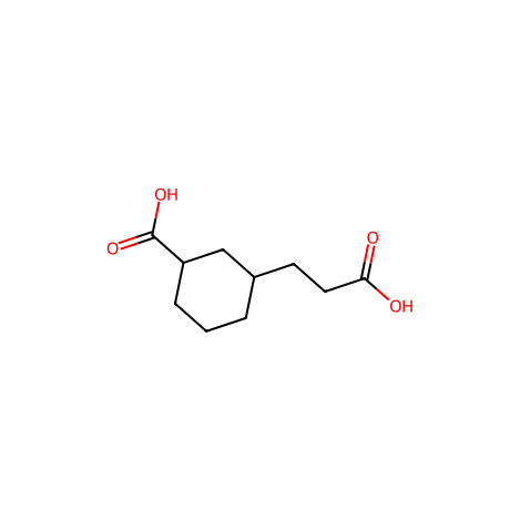 O=C(O)CCC1CCCC(C(=O)O)C1